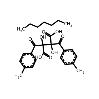 CCCCCCC.Cc1ccc(C(=O)C(O)(C(=O)O)C(O)(C(=O)O)C(=O)c2ccc(C)cc2)cc1